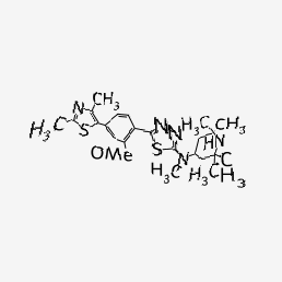 COc1cc(-c2sc(C)nc2C)ccc1-c1nnc(N(C)C2CC(C)(C)NC(C)(C)C2)s1